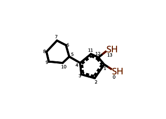 Sc1ccc(C2CCCCC2)cc1S